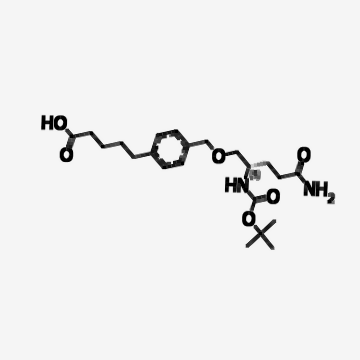 CC(C)(C)OC(=O)N[C@@H](CCC(N)=O)COCc1ccc(CCCCC(=O)O)cc1